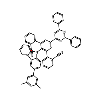 Cc1cc(C)cc(-c2ccc3c(c2)c2ccccc2n3-c2c(-c3ccccc3C#N)cc(-c3nc(-c4ccccc4)nc(-c4ccccc4)n3)cc2-c2ccccc2C#N)c1